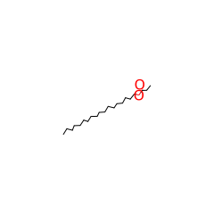 CCCCCCCCCCCCCCCCCCOC(=O)CC